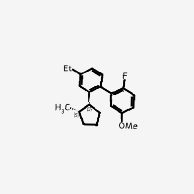 CCc1ccc(-c2cc(OC)ccc2F)c([C@H]2CCC[C@@H]2C)c1